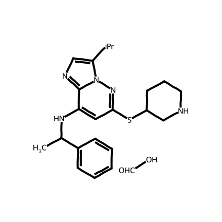 CC(C)c1cnc2c(NC(C)c3ccccc3)cc(SC3CCCNC3)nn12.O=CO